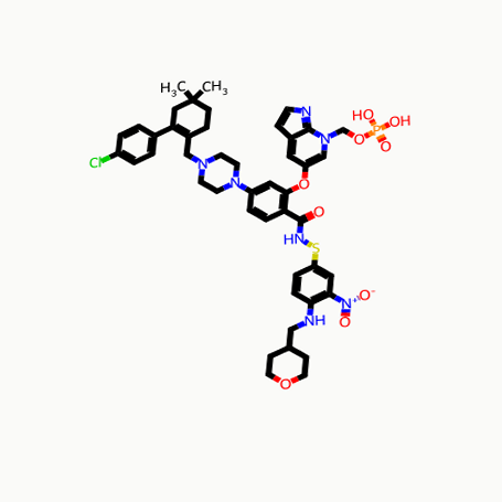 CC1(C)CCC(CN2CCN(c3ccc(C(=O)NSc4ccc(NCC5CCOCC5)c([N+](=O)[O-])c4)c(Oc4cc5ccnc-5n(COP(=O)(O)O)c4)c3)CC2)=C(c2ccc(Cl)cc2)C1